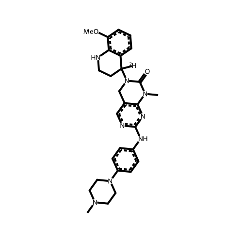 [2H]C1(N2Cc3cnc(Nc4ccc(N5CCN(C)CC5)cc4)nc3N(C)C2=O)CCNc2c(OC)cccc21